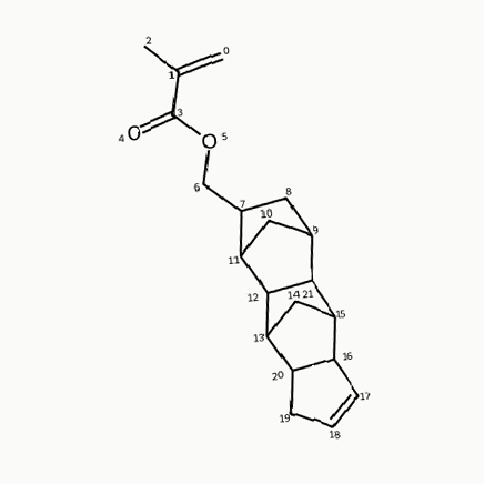 C=C(C)C(=O)OCC1CC2CC1C1C3CC(C4C=CCC43)C21